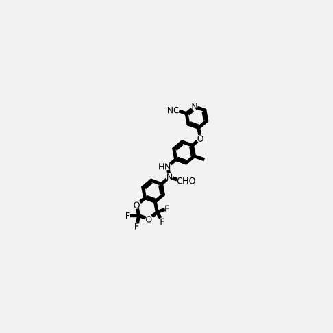 Cc1cc(NN(C=O)c2ccc3c(c2)C(F)(F)OC(F)(F)O3)ccc1Oc1ccnc(C#N)c1